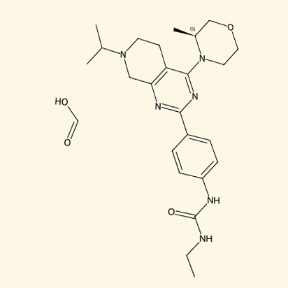 CCNC(=O)Nc1ccc(-c2nc3c(c(N4CCOC[C@@H]4C)n2)CCN(C(C)C)C3)cc1.O=CO